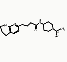 CC(=O)[C@H](C)N1CCC(NC(=O)CCCc2ccc3c(n2)NCCC3)CC1